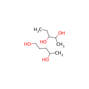 CC(O)CCCO.CCC(O)C(C)O